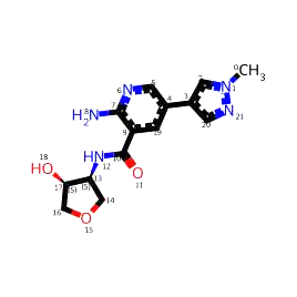 Cn1cc(-c2cnc(N)c(C(=O)N[C@H]3COC[C@H]3O)c2)cn1